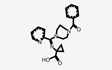 O=C(c1ccccc1)N1CCN(C(=NC2(C(=O)O)CC2)c2ccccn2)CC1